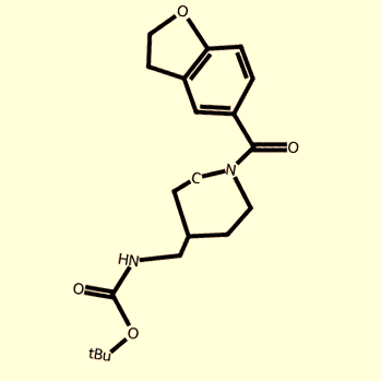 CC(C)(C)OC(=O)NCC1CCN(C(=O)c2ccc3c(c2)CCO3)CC1